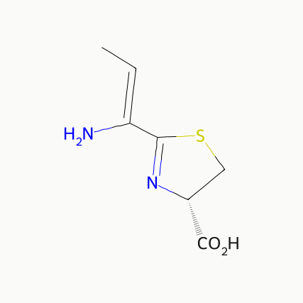 CC=C(N)C1=N[C@@H](C(=O)O)CS1